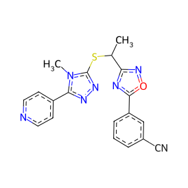 CC(Sc1nnc(-c2ccncc2)n1C)c1noc(-c2cccc(C#N)c2)n1